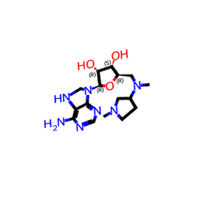 CN1CCC(N(C)C[C@H]2O[C@@H](N3CNc4c(N)ncnc43)[C@H](O)[C@@H]2O)C1